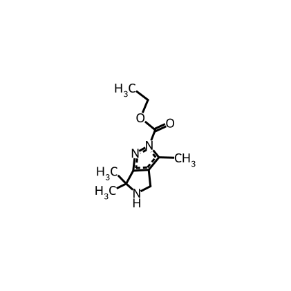 CCOC(=O)n1nc2c(c1C)CNC2(C)C